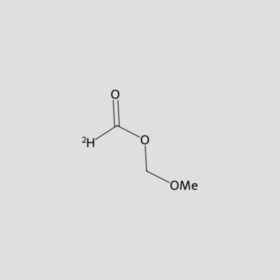 [2H]C(=O)OCOC